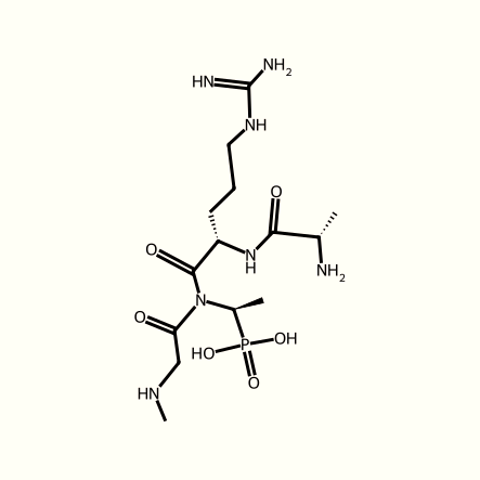 CNCC(=O)N(C(=O)[C@H](CCCNC(=N)N)NC(=O)[C@H](C)N)[C@@H](C)P(=O)(O)O